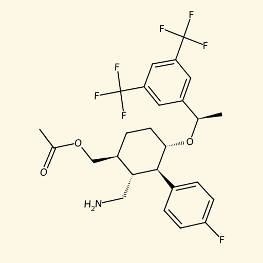 CC(=O)OC[C@H]1CC[C@H](O[C@H](C)c2cc(C(F)(F)F)cc(C(F)(F)F)c2)[C@@H](c2ccc(F)cc2)[C@@H]1CN